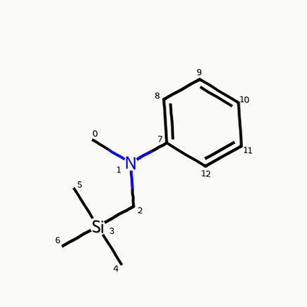 CN(C[Si](C)(C)C)c1ccccc1